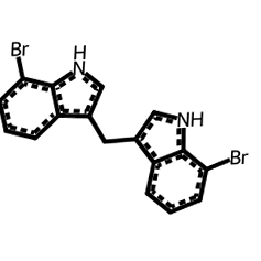 Brc1cccc2c(Cc3c[nH]c4c(Br)cccc34)c[nH]c12